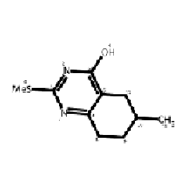 CSc1nc(O)c2c(n1)CCC(C)C2